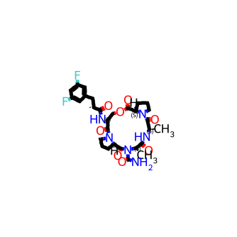 C[C@@H]1NC(=O)[C@H](C)N(C(N)=O)C(=O)[C@@H]2CCCN2C(=O)[C@@H](NC(=O)[CH]Cc2cc(F)cc(F)c2)COC(=O)[C@@H]2CCCN2C1=O